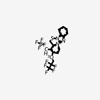 Cc1c(OCC(F)(F)C(F)(F)F)cc[n+]2c1CSn1c-2nc2ccccc21.F[B-](F)(F)F